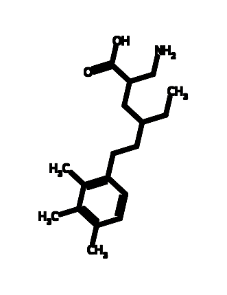 CCC(CCc1ccc(C)c(C)c1C)CC(CN)C(=O)O